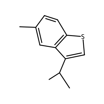 Cc1ccc2scc(C(C)C)c2c1